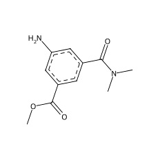 COC(=O)c1cc(N)cc(C(=O)N(C)C)c1